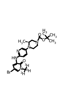 [2H]C([2H])([2H])n1cc(Br)cc(Nc2ccc(N3CCN(C(=O)OC(C)(C)C)C[C@@H]3C)cn2)c1=O